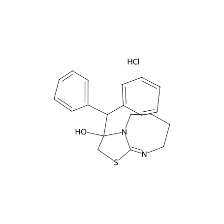 Cl.OC1(C(c2ccccc2)c2ccccc2)CSC2=NCCCCN21